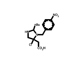 CCCCC1NCC(Cl)(CC(=O)O)N1Cc1ccc([N+](=O)[O-])cc1